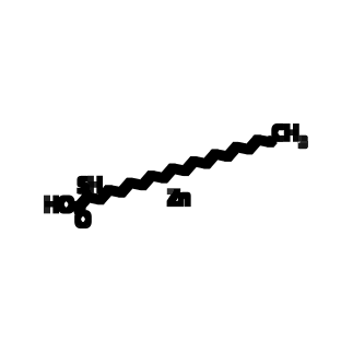 CCCCCCCCCCCCCCCCCCC(S)C(=O)O.[Zn]